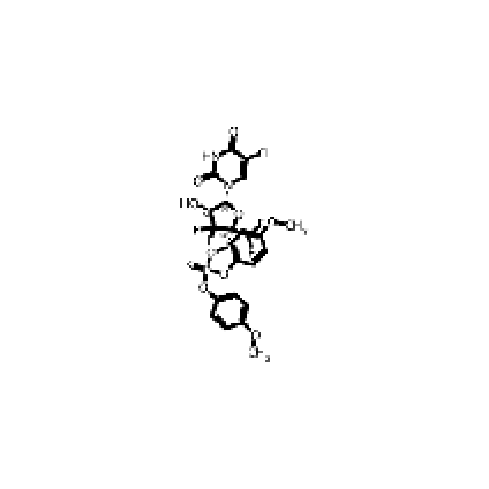 COc1ccc(OP(=S)(OC[C@@]2(C(F)F)O[C@@H](n3cc(Cl)c(=O)[nH]c3=O)[C@H](O)C2(F)F)Oc2ccc(OC)cc2)cc1